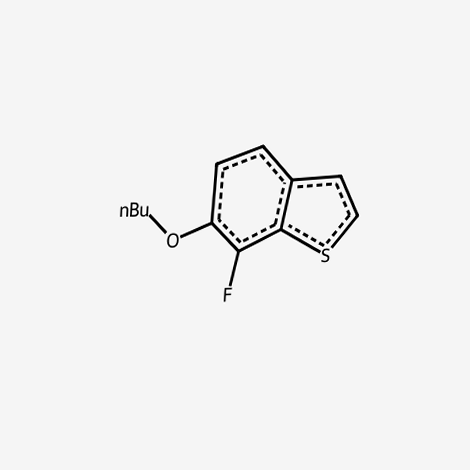 CCCCOc1ccc2ccsc2c1F